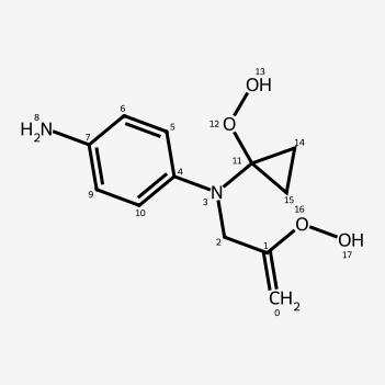 C=C(CN(c1ccc(N)cc1)C1(OO)CC1)OO